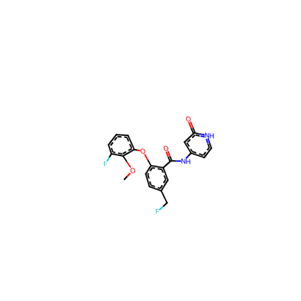 COc1c(F)cccc1Oc1ccc(CF)cc1C(=O)Nc1cc[nH]c(=O)c1